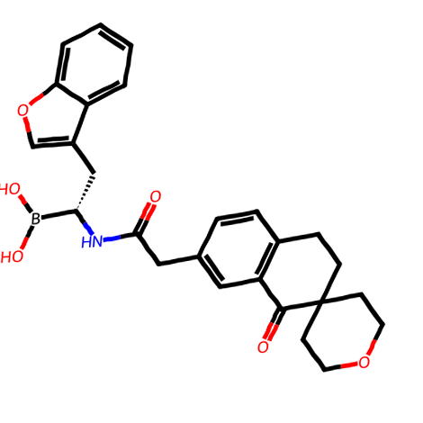 O=C(Cc1ccc2c(c1)C(=O)C1(CCOCC1)CC2)N[C@@H](Cc1coc2ccccc12)B(O)O